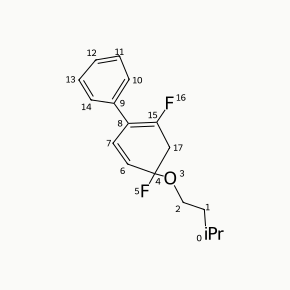 CC(C)CCOC1(F)C=CC(c2ccccc2)=C(F)C1